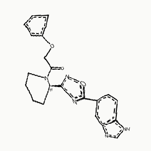 O=C(COc1ccccc1)N1CCCC[C@@H]1c1noc(-c2ccc3[nH]cnc3c2)n1